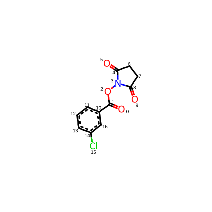 O=C(ON1C(=O)CCC1=O)c1cccc(Cl)c1